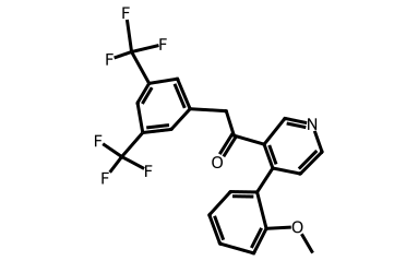 COc1ccccc1-c1ccncc1C(=O)Cc1cc(C(F)(F)F)cc(C(F)(F)F)c1